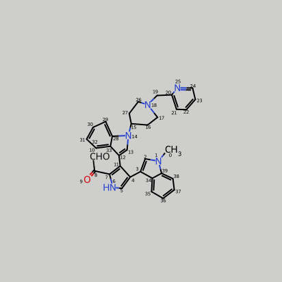 Cn1cc(-c2c[nH]c(C(=O)C=O)c2-c2cn(C3CCN(Cc4ccccn4)CC3)c3ccccc23)c2ccccc21